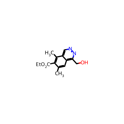 CCOC(=O)c1c(C)cc2c(CO)nncc2c1C